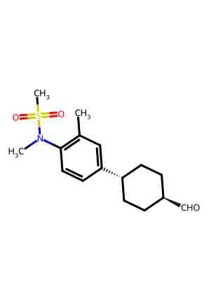 Cc1cc([C@H]2CC[C@H](C=O)CC2)ccc1N(C)S(C)(=O)=O